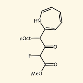 CCCCCCCCC(C(=O)C(F)C(=O)OC)C1=CC=CC=CN1